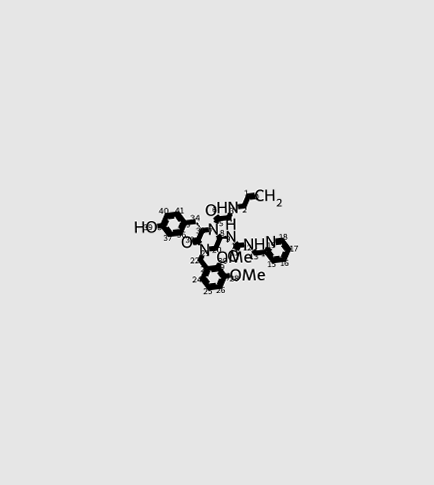 C=CCNCC(=O)N1[C@@H](NC(=O)NCc2ccccn2)CN(Cc2cccc(OC)c2OC)C(=O)[C@@H]1Cc1ccc(O)cc1